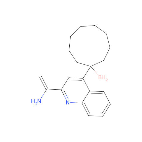 BC1(c2cc(C(=C)N)nc3ccccc23)CCCCCCCC1